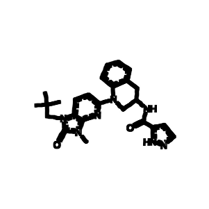 Cn1c(=O)n(CC(C)(C)C)c2ccc(N3CC(NC(=O)c4ccn[nH]4)Cc4ccccc43)nc21